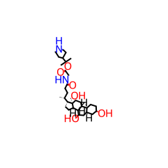 C[C@H](CCC(=O)NCC(=O)OC(C)(C)C1CCNCC1)[C@H]1CC[C@H]2[C@@H]3C(O)C[C@@H]4CC(O)CC[C@]4(C)[C@H]3CC(O)[C@]12C